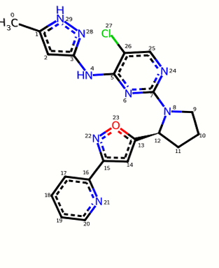 Cc1cc(Nc2nc(N3CCC[C@H]3c3cc(-c4ccccn4)no3)ncc2Cl)n[nH]1